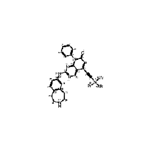 CC(C)[Si](C#Cc1cc(=O)n(-c2ccccc2)c2nc(Nc3ccc4c(c3)CCNCC4)ncc12)(C(C)C)C(C)C